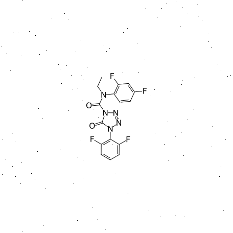 CCN(C(=O)n1nnn(-c2c(F)cccc2F)c1=O)c1ccc(F)cc1F